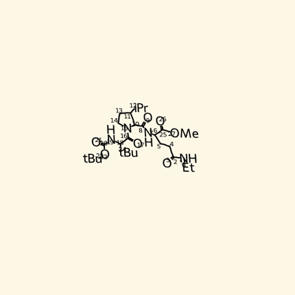 CCNC(=O)CCC(NC(=O)C1C(C(C)C)CCN1C(=O)C(NC(=O)OC(C)(C)C)C(C)(C)C)C(=O)OC